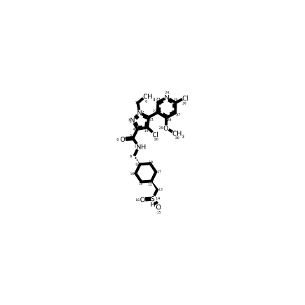 CCn1nc(C(=O)NC[C@H]2CC[C@H](C[SH](=O)=O)CC2)c(Cl)c1-c1cnc(Cl)cc1OC